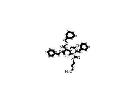 COCCOC(=O)N(CCc1ccccc1)C(=O)[C@H](CC(C)C)C(C(=O)OCc1ccccc1)C(=O)OCc1ccccc1